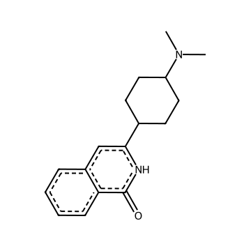 CN(C)C1CCC(c2cc3ccccc3c(=O)[nH]2)CC1